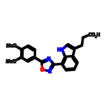 COc1ccc(-c2nc(-c3cccc4c(CCC(=O)O)c[nH]c34)no2)cc1OC